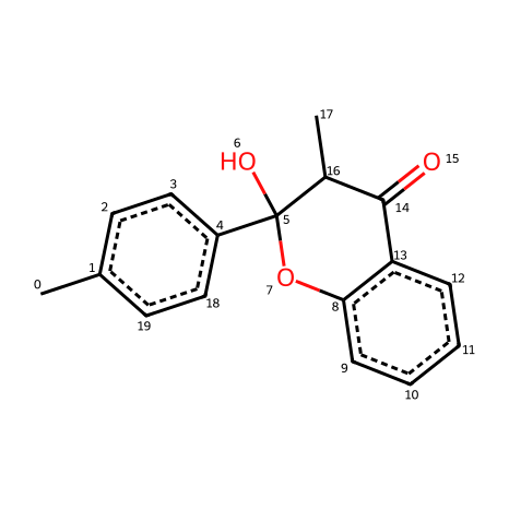 Cc1ccc(C2(O)Oc3ccccc3C(=O)C2C)cc1